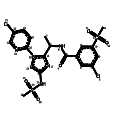 CC(NC(=O)c1cc(Cl)cc(S(C)(=O)=O)c1)c1nc(NS(C)(=O)=O)nn1-c1ccc(Cl)cn1